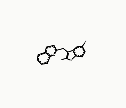 CC1=C(Cc2ccc3ccccc3n2)c2cc(F)ccc2[N]1